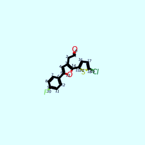 O=CCc1cc(-c2ccc(F)cc2)oc1-c1ccc(Cl)s1